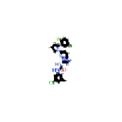 Cc1cc(Cl)cc(NC(=O)Nc2cnc3ccc(N4CCC[C@@H]4c4cc(F)ccc4F)nn23)c1